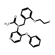 CC(=O)N(Cc1ccccc1OCCF)c1cnccc1Oc1ccccc1